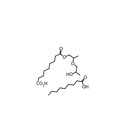 CC(O)COC(C)COC(=O)CCCCCCCC(=O)O.CCCCCCCCC(=O)O